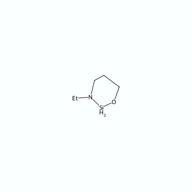 CCN1CCCO[SiH2]1